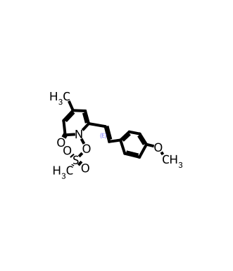 COc1ccc(/C=C/c2cc(C)cc(=O)n2OS(C)(=O)=O)cc1